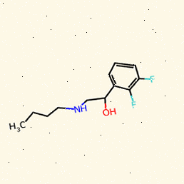 CCCCNCC(O)c1cccc(F)c1F